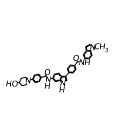 Cn1ccc2cc(NC(=O)c3ccc(-c4c[nH]c5cc(NC(=O)c6ccc(N7CCC(O)CC7)cc6)ccc45)cc3)ccc21